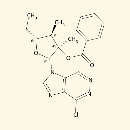 CC[C@H]1O[C@@H](n2cnc3c(Cl)nncc32)[C@](C)(OC(=O)c2ccccc2)[C@@H]1C